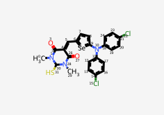 CN1C(=O)C(=Cc2ccc(N(c3ccc(Cl)cc3)c3ccc(Cl)cc3)[se]2)C(=O)N(C)C1S